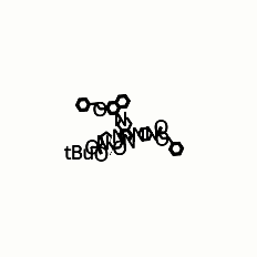 C[C@@H](Oc1nc2c(c(N3CCN(C(=O)OCc4ccccc4)CC3)n1)CCN(c1cc(OCc3ccccc3)cc3ccccc13)C2)[C@H]1CCCN1C(=O)OC(C)(C)C